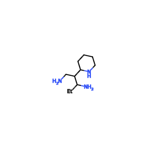 CCC(N)C(CN)C1CCCCN1